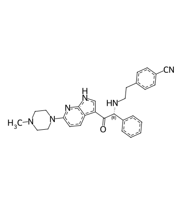 CN1CCN(c2ccc3c(C(=O)[C@H](NCCc4ccc(C#N)cc4)c4ccccc4)c[nH]c3n2)CC1